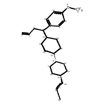 C=CCC(c1ccc(OC(F)(F)F)cc1)C1CCC([C@H]2CC[C@H](/C=C/C)CC2)CC1